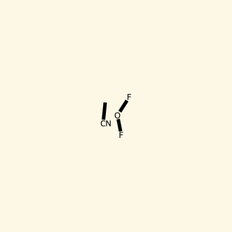 CC#N.FOF